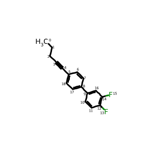 CCCC#Cc1ccc(-c2ccc(F)c(F)c2)cc1